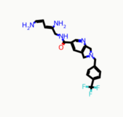 N/C=C\C=C(/N)CNC(=O)c1cnc2c(c1)CN(Cc1ccc(C(F)(F)F)cc1)C2